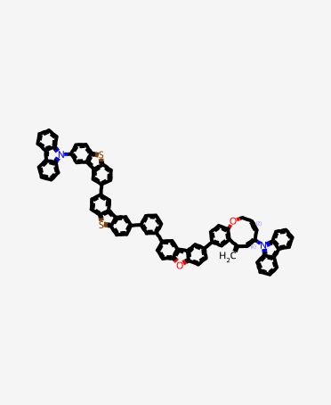 C=C1/C=C(n2c3ccccc3c3ccccc32)\C=C/COc2ccc(-c3ccc4oc5ccc(-c6cccc(-c7ccc8sc9ccc(-c%10ccc%11sc%12ccc(-n%13c%14ccccc%14c%14ccccc%14%13)cc%12c%11c%10)cc9c8c7)c6)cc5c4c3)cc21